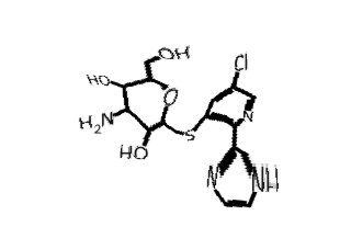 NC1C(O)C(CO)OC(Sc2cc(Cl)cnc2-c2ncc[nH]2)C1O